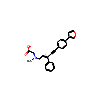 CN(C/C=C(/C#Cc1ccc(-c2ccoc2)cc1)c1ccccc1)CC(=O)O